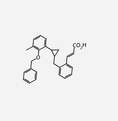 Cc1cccc(C2CC2Cc2ccccc2C=CC(=O)O)c1OCc1ccccc1